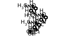 C.CCN(Cc1cccc(S(=O)(=O)NCCNC)c1)c1ccccc1.CCN(Cc1cccc(S(=O)(=O)NCCNC)c1)c1ccccc1.CCN(Cc1cccc(S(=O)(=O)NCCNC)c1)c1ccccc1.O=S(=O)(O)O